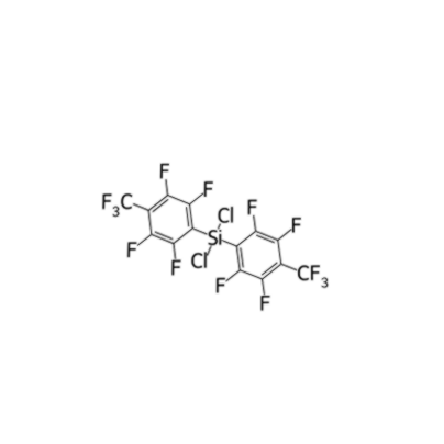 Fc1c(F)c([Si](Cl)(Cl)c2c(F)c(F)c(C(F)(F)F)c(F)c2F)c(F)c(F)c1C(F)(F)F